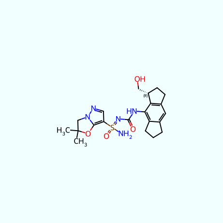 CC1(C)Cn2ncc(S(N)(=O)=NC(=O)Nc3c4c(cc5c3[C@H](CO)CC5)CCC4)c2O1